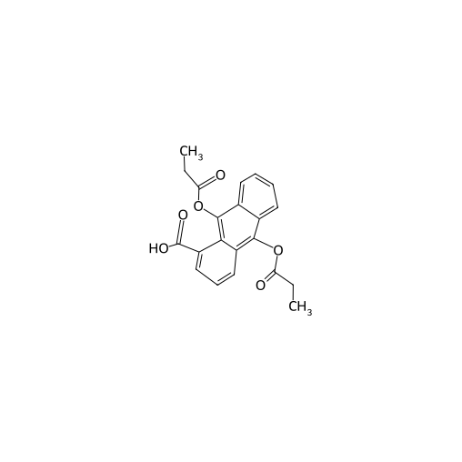 CCC(=O)Oc1c2ccccc2c(OC(=O)CC)c2c(C(=O)O)cccc12